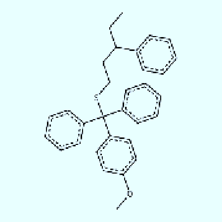 CCC(CCSC(c1ccccc1)(c1ccccc1)c1ccc(OC)cc1)c1ccccc1